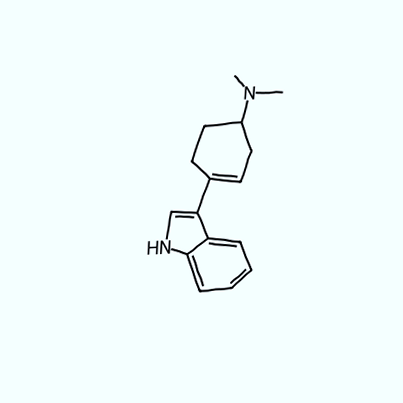 CN(C)C1CC=C(c2c[nH]c3ccccc23)CC1